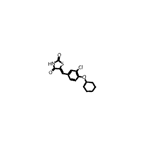 O=C1NC(=O)C(=Cc2ccc(OC3CCCCC3)c(Cl)c2)S1